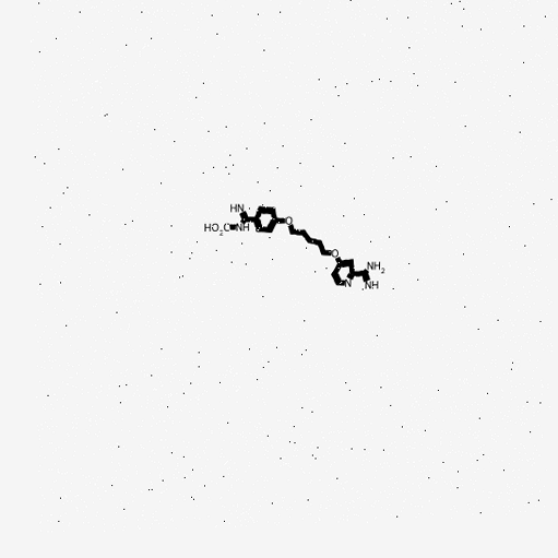 N=C(NC(=O)O)c1ccc(OCCCCCOc2ccnc(C(=N)N)c2)cc1